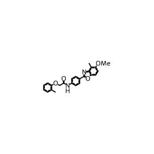 COc1ccc2oc(-c3ccc(NC(=O)COc4ccccc4C)cc3)nc2c1C